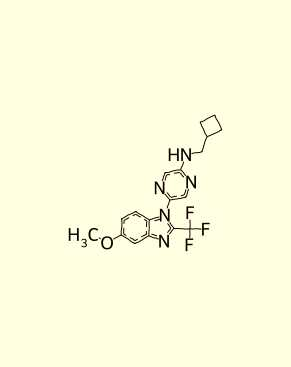 COc1ccc2c(c1)nc(C(F)(F)F)n2-c1cnc(NCC2CCC2)cn1